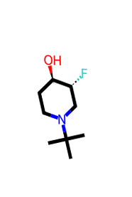 CC(C)(C)N1CC[C@@H](O)[C@H](F)C1